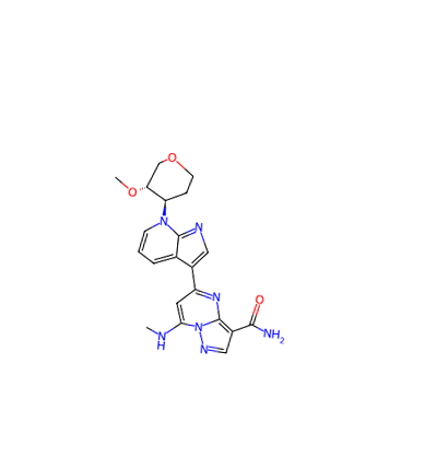 CNc1cc(-c2cnc3n([C@@H]4CCOC[C@H]4OC)cccc2-3)nc2c(C(N)=O)cnn12